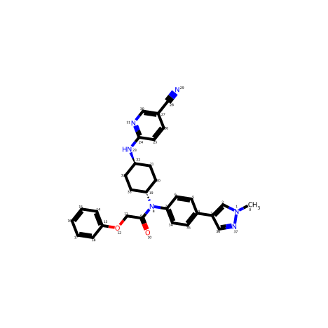 Cn1cc(-c2ccc(N(C(=O)COc3ccccc3)[C@H]3CC[C@H](Nc4ccc(C#N)cn4)CC3)cc2)cn1